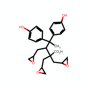 CC(c1ccc(O)cc1)(c1ccc(O)cc1)C(CC1CO1)C(CC1CO1)(CC1CO1)C(=O)O